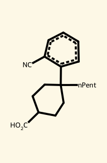 CCCCCC1(c2ccccc2C#N)CCC(C(=O)O)CC1